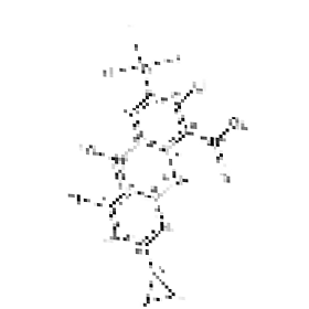 O=[N+]([O-])c1cc(C(F)(F)F)c(Cl)c([N+](=O)[O-])c1Nc1cc(F)nc(C2CC2)n1